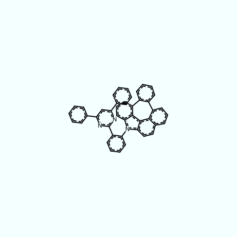 c1ccc(-c2cc(-c3ccccc3)nc(-c3ccccc3-n3c4cccc5c4c4c6c(cccc6ccc43)-c3ccccc3-5)n2)cc1